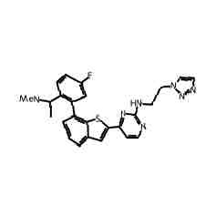 CNC(C)c1ccc(F)cc1-c1cccc2cc(-c3ccnc(NCCn4ccnn4)n3)sc12